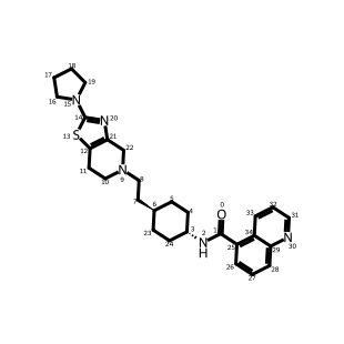 O=C(N[C@H]1CC[C@H](CCN2CCc3sc(N4CCCC4)nc3C2)CC1)c1cccc2ncccc12